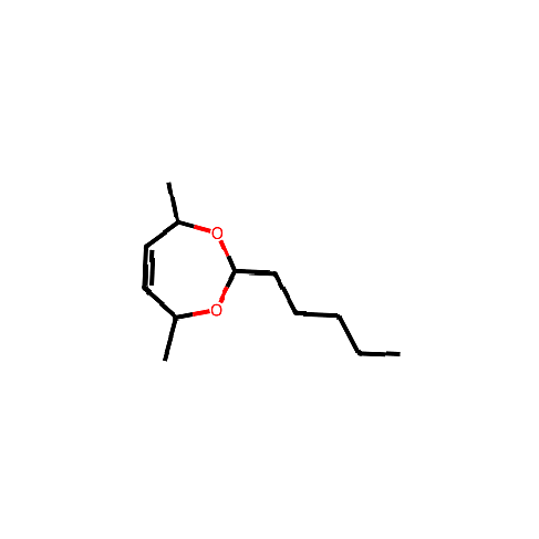 CCCCCC1OC(C)C=CC(C)O1